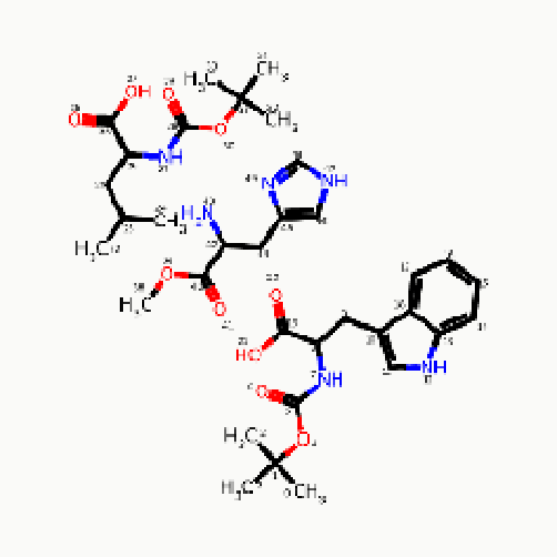 CC(C)(C)OC(=O)NC(Cc1c[nH]c2ccccc12)C(=O)O.CC(C)CC(NC(=O)OC(C)(C)C)C(=O)O.COC(=O)C(N)Cc1c[nH]cn1